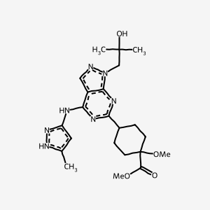 COC(=O)C1(OC)CCC(c2nc(Nc3cc(C)[nH]n3)c3cnn(CC(C)(C)O)c3n2)CC1